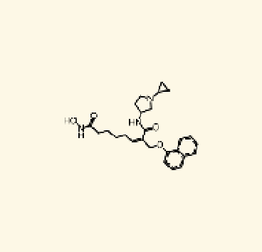 O=C(CCCCC=C(COc1cccc2ccccc12)C(=O)NC1CCN(C2CC2)C1)NO